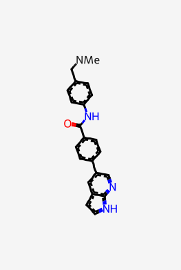 CNCc1ccc(NC(=O)c2ccc(-c3cnc4[nH]ccc4c3)cc2)cc1